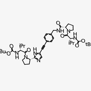 CC(C)[C@@H](NC(=O)OC(C)(C)C)C(=O)N1CCC[C@H]1C(=O)NCc1ccc(C#Cc2cnc([C@@H]3CCCN3C(=O)[C@H](NC(=O)OC(C)(C)C)C(C)C)[nH]2)cc1